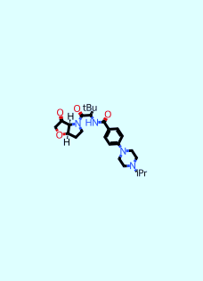 CC(C)N1CCN(c2ccc(C(=O)NC(C(=O)N3CC[C@H]4OCC(=O)[C@H]43)C(C)(C)C)cc2)CC1